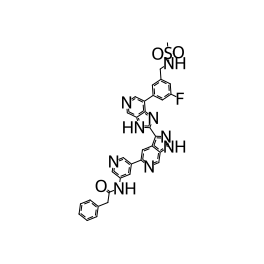 CS(=O)(=O)NCc1cc(F)cc(-c2cncc3[nH]c(-c4n[nH]c5cnc(-c6cncc(NC(=O)Cc7ccccc7)c6)cc45)nc23)c1